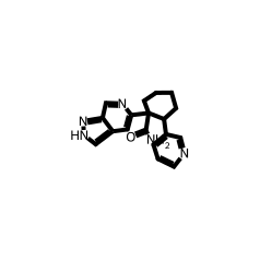 NC(=O)C1(c2cc3c[nH]nc3cn2)CCCCC1c1cccnc1